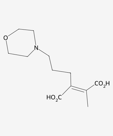 C/C(C(=O)O)=C(/CCCN1CCOCC1)C(=O)O